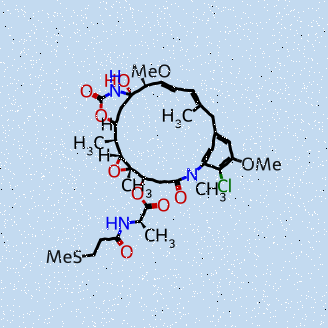 COc1cc2cc(c1Cl)N(C)C(=O)C[C@@H](OC(=O)[C@@H](C)NC(=O)CCSC)[C@]1(C)O[C@@H]1[C@@H](C)[C@H]1C[C@](O)(NC(=O)O1)[C@@H](OC)/C=C/C=C(\C)C2